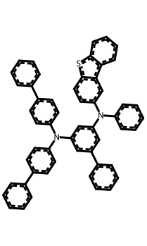 c1ccc(-c2ccc(N(c3ccc(-c4ccccc4)cc3)c3cc(-c4ccccc4)cc(N(c4ccccc4)c4ccc5sc6ccccc6c5c4)c3)cc2)cc1